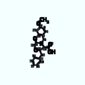 COc1ccc(CN2C(=O)COC(Cc3ccccc3)C2C(=O)O)cc1